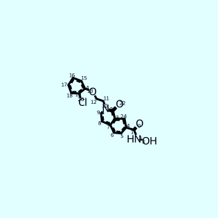 O=C(NO)c1ccc2ccn(CCOc3ccccc3Cl)c(=O)c2c1